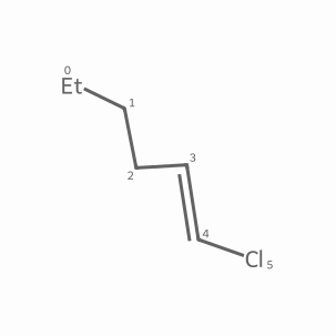 CCCCC=CCl